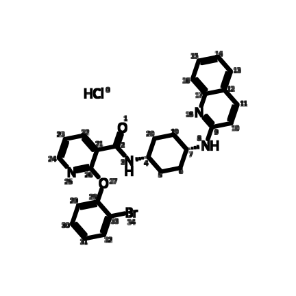 Cl.O=C(N[C@H]1CC[C@@H](Nc2ccc3ccccc3n2)CC1)c1cccnc1Oc1ccccc1Br